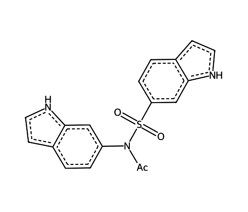 CC(=O)N(c1ccc2cc[nH]c2c1)S(=O)(=O)c1ccc2cc[nH]c2c1